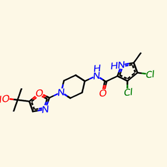 Cc1[nH]c(C(=O)NC2CCN(c3ncc(C(C)(C)O)o3)CC2)c(Cl)c1Cl